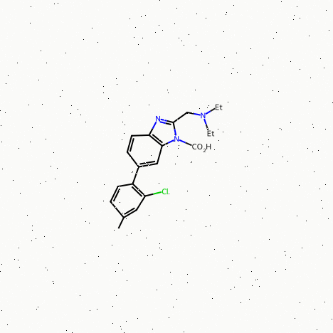 CCN(CC)Cc1nc2ccc(-c3ccc(C)cc3Cl)cc2n1C(=O)O